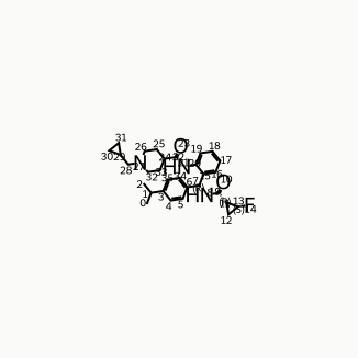 CC(C)c1ccc([C@@H](NC(=O)[C@H]2C[C@@H]2F)c2ccccc2NC(=O)C2CCN(CC3CC3)CC2)cc1